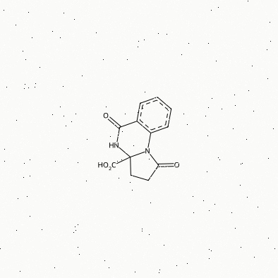 O=C1NC2(C(=O)O)CCC(=O)N2c2ccccc21